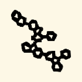 c1ccc(-c2nc(-n3c4ccccc4c4ccc(-c5ccc6c(c5)c5ccccc5n6-c5ccccc5)cc43)nc3c2oc2ccc(-c4ccc5ccccc5c4)cc23)cc1